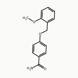 COc1ccccc1COc1ccc(C(N)=O)cc1